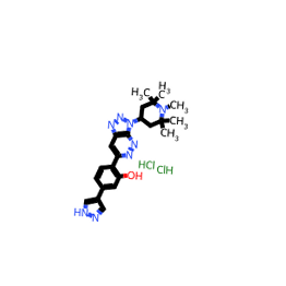 CN1C(C)(C)CC(n2nnc3cc(-c4ccc(-c5cn[nH]c5)cc4O)nnc32)CC1(C)C.Cl.Cl